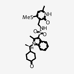 CSc1cc(C)[nH]c(=O)c1CNS(=O)(=O)c1c(C)n([C@H](C)C2CCC(=O)CC2)c2ccccc12